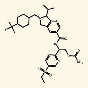 CCS(=O)(=O)c1ccc([C@H](COC(N)=O)NC(=O)c2cnc3c(c2)CN(CC2CCC(C(F)(F)F)CC2)C3C(C)C)nc1